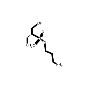 CC[C@H](CO)S(=O)(=O)OCCCN